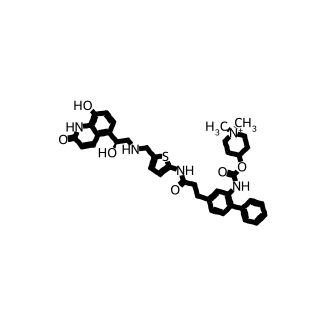 C[N+]1(C)CCC(OC(=O)Nc2cc(CCC(=O)Nc3ccc(CNC[C@@H](O)c4ccc(O)c5[nH]c(=O)ccc45)s3)ccc2-c2ccccc2)CC1